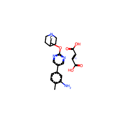 Cc1ccc(-c2cnc(OC3CN4CCC3CC4)nc2)cc1N.O=C(O)/C=C/C(=O)O